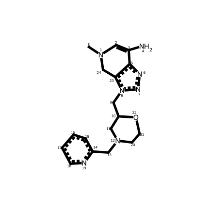 CN1C=C(N)c2nnn(CC3CN(Cc4ccccn4)CCO3)c2C1